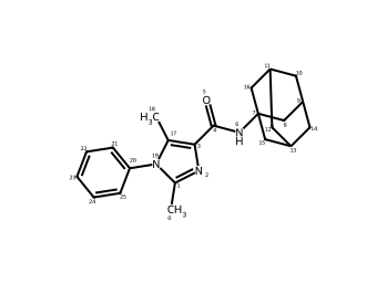 Cc1nc(C(=O)NC23CC4CC(CC(C4)C2)C3)c(C)n1-c1ccccc1